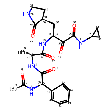 CCC[C@H](NC(=O)[C@H](NC(=O)C(C)(C)C)c1ccccc1)C(=O)N[C@@H](C[C@@H]1CCNC1=O)C(=O)C(=O)NC1CC1